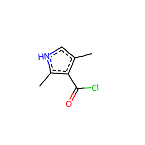 Cc1c[nH]c(C)c1C(=O)Cl